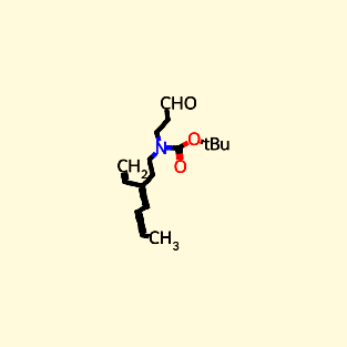 C=C/C(=C\C=C/C)CCN(CCC=O)C(=O)OC(C)(C)C